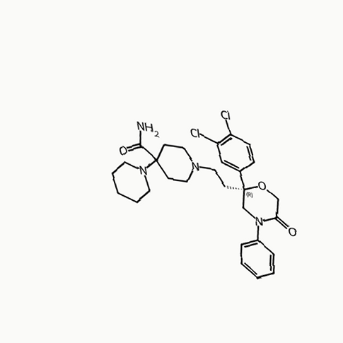 NC(=O)C1(N2CCCCC2)CCN(CC[C@@]2(c3ccc(Cl)c(Cl)c3)CN(c3ccccc3)C(=O)CO2)CC1